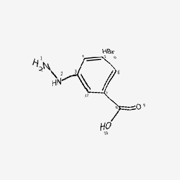 Br.NNc1cccc(C(=O)O)c1